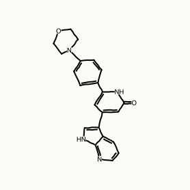 O=c1cc(-c2c[nH]c3ncccc23)cc(-c2ccc(N3CCOCC3)cc2)[nH]1